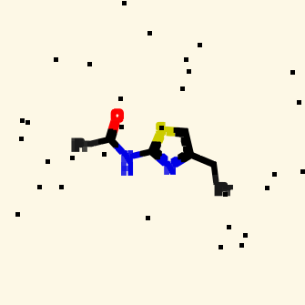 CC(C)Cc1csc(NC(=O)C(C)C)n1